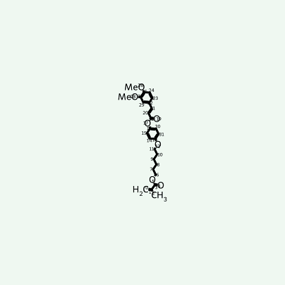 C=C(C)C(=O)OCCCCCCOc1ccc(OC(=O)/C=C/c2ccc(OC)c(OC)c2)cc1